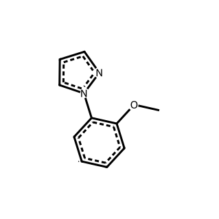 COc1cc[c]cc1-n1cccn1